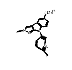 Cc1ccc(-n2c3ccc(C(=O)O)cc3c3cn(C)nc32)cn1